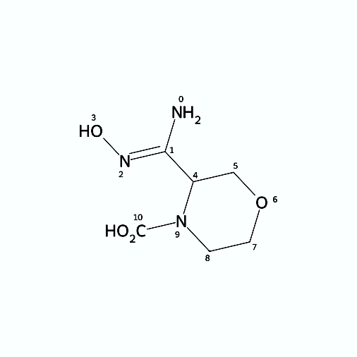 N/C(=N\O)C1COCCN1C(=O)O